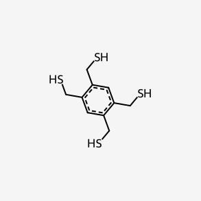 SCc1cc(CS)c(CS)cc1CS